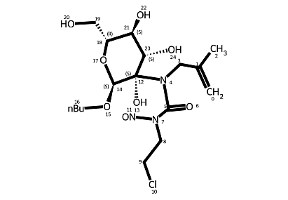 C=C(C)CN(C(=O)N(CCCl)N=O)[C@@]1(O)[C@@H](OCCCC)O[C@H](CO)[C@@H](O)[C@@H]1O